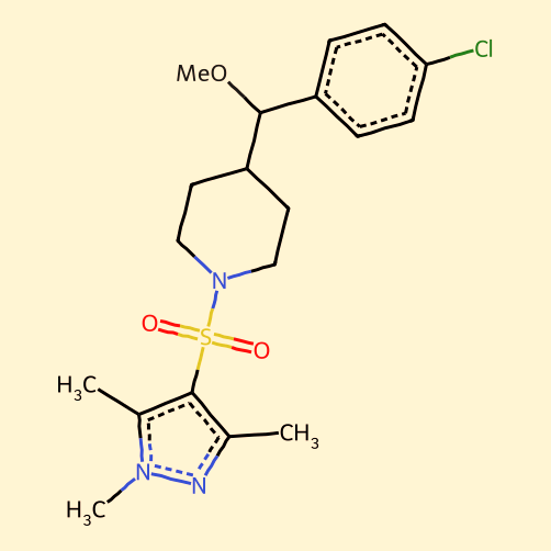 COC(c1ccc(Cl)cc1)C1CCN(S(=O)(=O)c2c(C)nn(C)c2C)CC1